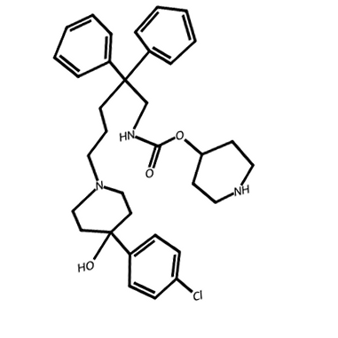 O=C(NCC(CCCN1CCC(O)(c2ccc(Cl)cc2)CC1)(c1ccccc1)c1ccccc1)OC1CCNCC1